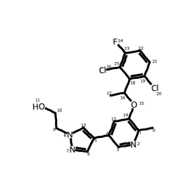 Cc1ncc(-c2cnn(CCO)c2)cc1OC(C)c1c(Cl)ccc(F)c1Cl